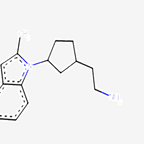 Cc1cc2ccccc2n1C1CCC(CCN)C1